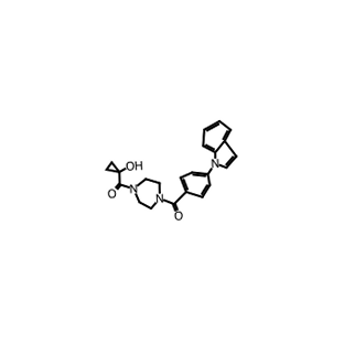 O=C(c1ccc(-n2ccc3ccccc32)cc1)N1CCN(C(=O)C2(O)CC2)CC1